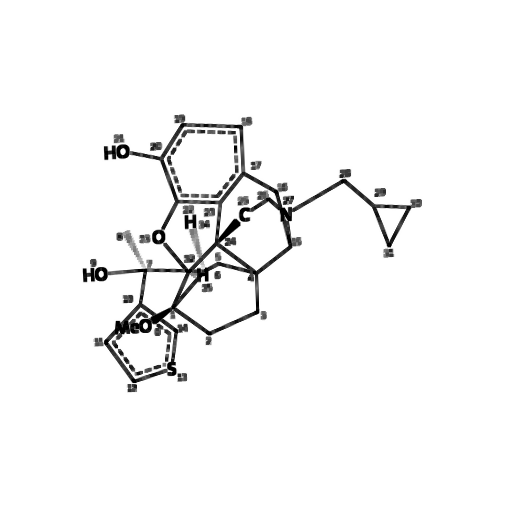 CO[C@]12CCC3(C[C@@H]1[C@](C)(O)c1ccsc1)C1Cc4ccc(O)c5c4[C@@]3(CCN1CC1CC1)[C@@H]2O5